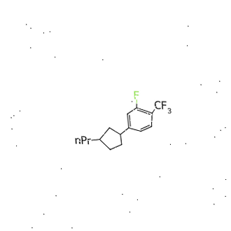 CCCC1CCC(c2ccc(C(F)(F)F)c(F)c2)C1